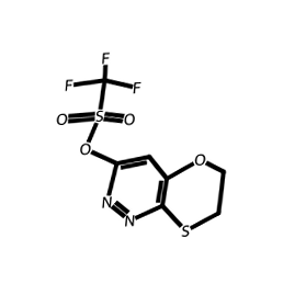 O=S(=O)(Oc1cc2c(nn1)SCCO2)C(F)(F)F